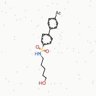 CC(=O)c1ccc(-c2ccc(S(=O)(=O)NCCCCCO)cc2)cc1